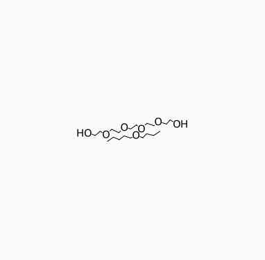 CCCCCOCCCC.OCCOCCOCCOCCOCCO